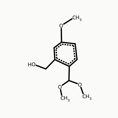 COc1ccc(C(OC)OC)c(CO)c1